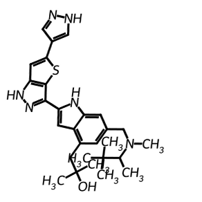 CC(N(C)Cc1cc(CC(C)(C)O)c2cc(-c3n[nH]c4cc(-c5cn[nH]c5)sc34)[nH]c2c1)C(C)(C)C